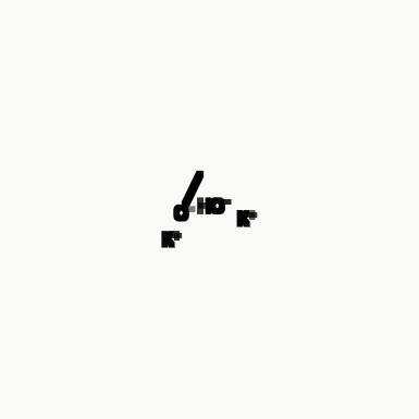 C[O-].[K+].[K+].[OH-]